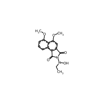 CCN(O)N1C(=O)c2cc(OC)c3c(OC)cccc3c2C1=O